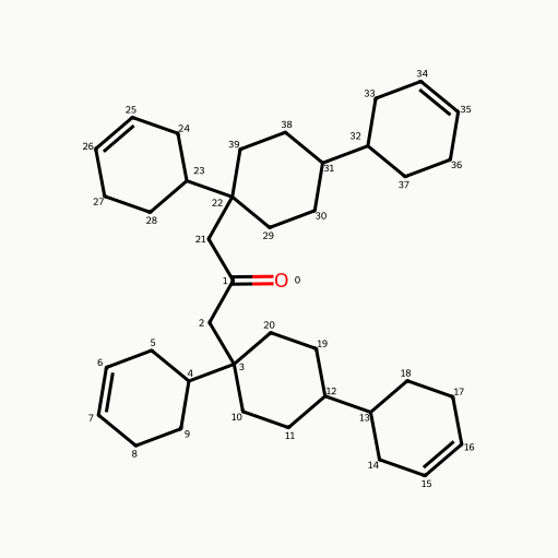 O=C(CC1(C2CC=CCC2)CCC(C2CC=CCC2)CC1)CC1(C2CC=CCC2)CCC(C2CC=CCC2)CC1